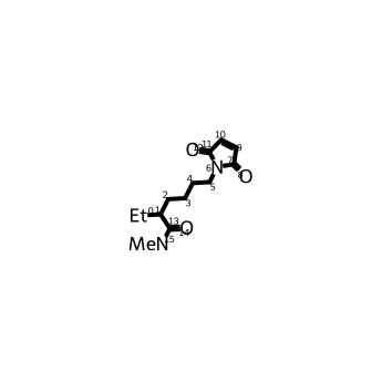 CCC(CCCCN1C(=O)C=CC1=O)C(=O)NC